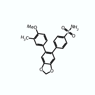 COc1ccc(-c2cc3c(cc2-c2ccc(S(N)(=O)=O)cc2)OCO3)cc1C